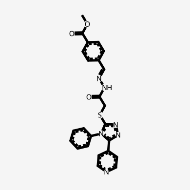 COC(=O)c1ccc(/C=N/NC(=O)CSc2nnc(-c3ccncc3)n2-c2ccccc2)cc1